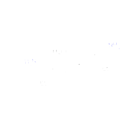 CCC(C)(N)CC(C)(C(=O)O)C(C)(N)CC